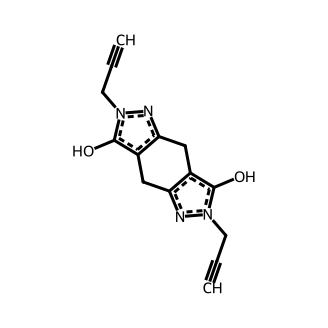 C#CCn1nc2c(c1O)Cc1nn(CC#C)c(O)c1C2